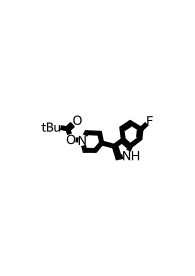 CC(C)(C)C(=O)ON1CCC(c2c[nH]c3cc(F)ccc23)CC1